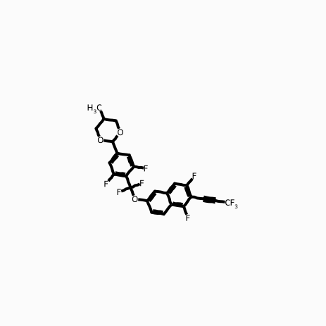 CC1COC(c2cc(F)c(C(F)(F)Oc3ccc4c(F)c(C#CC(F)(F)F)c(F)cc4c3)c(F)c2)OC1